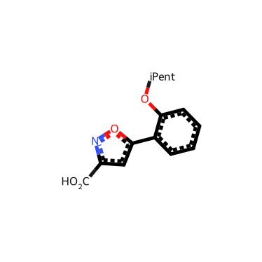 CCCC(C)Oc1ccccc1-c1cc(C(=O)O)no1